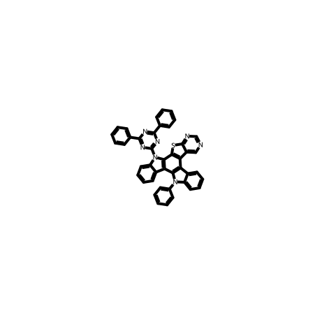 c1ccc(-c2nc(-c3ccccc3)nc(-n3c4ccccc4c4c3c3sc5ncncc5c3c3c5ccccc5n(-c5ccccc5)c34)n2)cc1